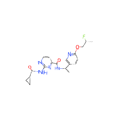 CC(NC(=O)c1ccnc(NC(=O)C2CC2)n1)c1ccc(OC[C@@H](C)F)nc1